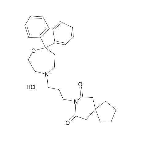 Cl.O=C1CC2(CCCC2)CC(=O)N1CCCN1CCOC(c2ccccc2)(c2ccccc2)CC1